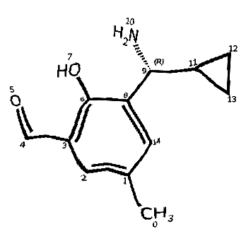 Cc1cc(C=O)c(O)c([C@H](N)C2CC2)c1